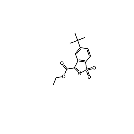 CCOC(=O)C1=NS(=O)(=O)c2ccc(C(C)(C)C)cc21